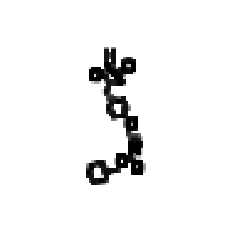 O=C1NC(=O)C(Cc2ccc(OC[C@@H]3CN3C(=O)OCc3ccccc3)cc2)S1